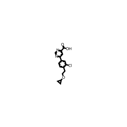 O=C(O)c1cc(-c2ccc(CCOC3CC3)c(Cl)c2)ncn1